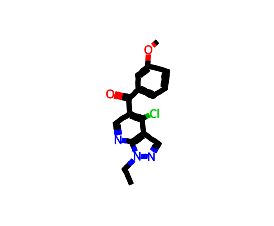 CCn1ncc2c(Cl)c(C(=O)c3cccc(OC)c3)cnc21